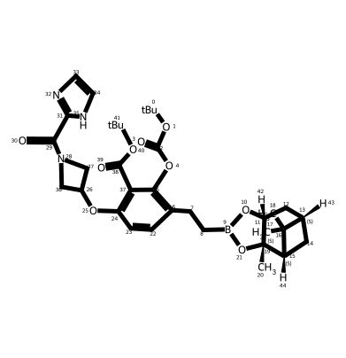 CC(C)(C)OC(=O)Oc1c(CCB2O[C@@H]3C[C@@H]4C[C@@H](C4(C)C)[C@]3(C)O2)ccc(OC2CN(C(=O)c3ncc[nH]3)C2)c1C(=O)OC(C)(C)C